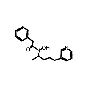 CC(CCCc1cccnc1)N(O)C(=O)Cc1ccccc1